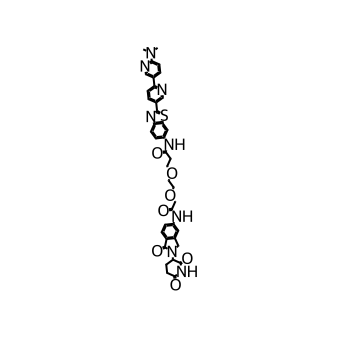 CN(C)c1ccc(-c2ccc(-c3nc4ccc(NC(=O)CCOCCOCC(=O)Nc5ccc6c(c5)CN(C5CCC(=O)NC5=O)C6=O)cc4s3)cn2)cn1